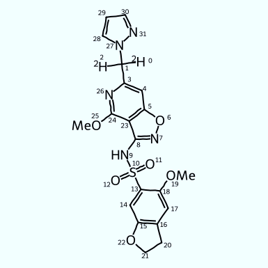 [2H]C([2H])(c1cc2onc(NS(=O)(=O)c3cc4c(cc3OC)CCO4)c2c(OC)n1)n1cccn1